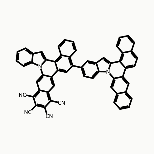 N#Cc1c(C#N)c(C#N)c2cc3c(cc2c1C#N)c1cc(-c2ccc4c(c2)cc2c5c6ccccc6ccc5c5cc6ccccc6cc5n42)c2ccccc2c1c1cc2ccccc2n31